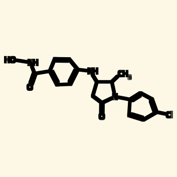 CC1C(Nc2ccc(C(=O)NO)cc2)CC(=O)N1c1ccc(Cl)cc1